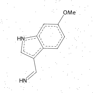 COc1ccc2c(C=N)c[nH]c2c1